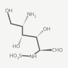 N[C@@H](CO)[C@@H](O)[C@H](O)[C@@H](C=O)NS(=O)(=O)O